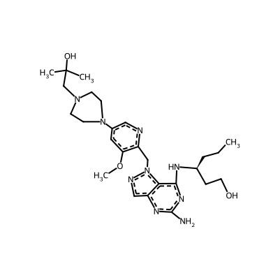 CCC[C@@H](CCO)Nc1nc(N)nc2cnn(Cc3ncc(N4CCN(CC(C)(C)O)CC4)cc3OC)c12